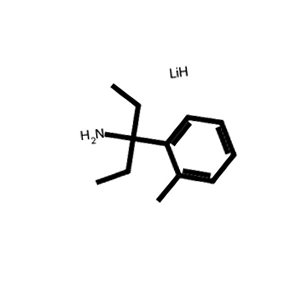 CCC(N)(CC)c1ccccc1C.[LiH]